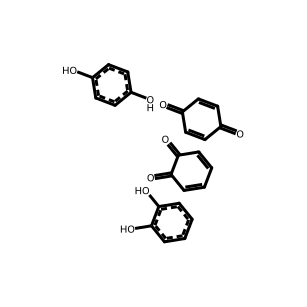 O=C1C=CC(=O)C=C1.O=C1C=CC=CC1=O.Oc1ccc(O)cc1.Oc1ccccc1O